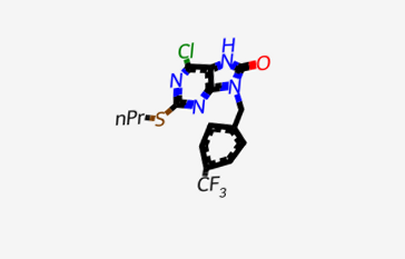 CCCSc1nc(Cl)c2[nH]c(=O)n(Cc3ccc(C(F)(F)F)cc3)c2n1